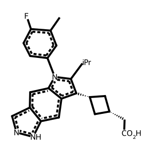 Cc1cc(-n2c(C(C)C)c([C@H]3C[C@@H](CC(=O)O)C3)c3cc4[nH]ncc4cc32)ccc1F